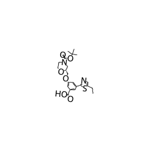 CCc1cnc(-c2cc(OC[C@@H]3CN(C(=O)OC(C)(C)C)CCO3)cc(C(=O)O)c2)s1